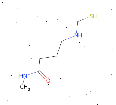 CNC(=O)CCCNCS